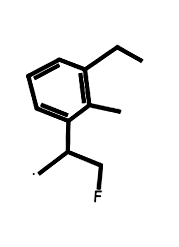 [CH2]C(CF)c1cccc(CC)c1C